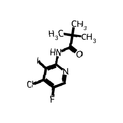 CC(C)(C)C(=O)Nc1ncc(F)c(Cl)c1I